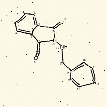 O=C1c2ccccc2C(=O)N1NCc1ccncc1